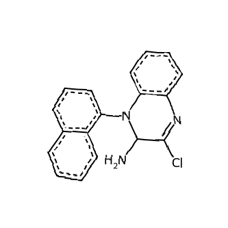 NC1C(Cl)=Nc2ccccc2N1c1cccc2ccccc12